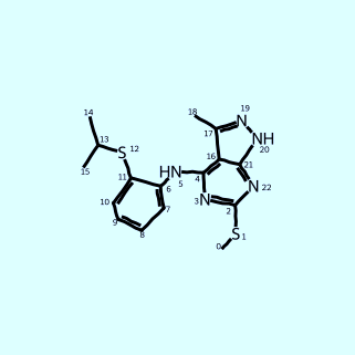 CSc1nc(Nc2ccccc2SC(C)C)c2c(C)n[nH]c2n1